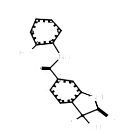 CC1(C)C(=O)Nc2cc(C(=O)Nc3ccccc3O)ccc21